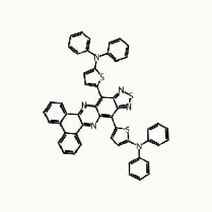 c1ccc(N(c2ccccc2)c2ccc(-c3c4nsnc4c(-c4ccc(N(c5ccccc5)c5ccccc5)s4)c4nc5c6ccccc6c6ccccc6c5nc34)s2)cc1